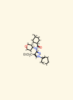 CCOC(=O)c1cn(C2=CCCCCC2)nc1N(C(=O)C1CCC(C)CC1)C1CCOCC1